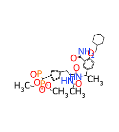 CCOP(=O)(OCC)C(P=O)c1ccc(CC(NC(C)=O)C(=O)NC(C)c2ccc(OCC3CCCCC3)c(C(N)=O)c2)cc1